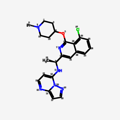 CC(C)N1CCC(Oc2nc([C@H](C)Nc3ccnc4ccnn34)cc3cccc(Cl)c23)CC1